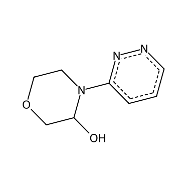 OC1COCCN1c1cccnn1